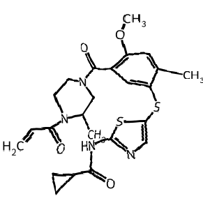 C=CC(=O)N1CCN(C(=O)c2cc(Sc3cnc(NC(=O)C4CC4)s3)c(C)cc2OC)CC1C